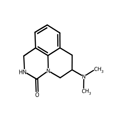 CN(C)C1Cc2cccc3c2N(C1)C(=O)NC3